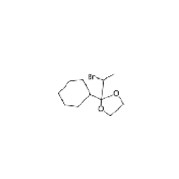 CC(Br)C1(C2CCCCC2)OCCO1